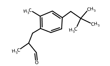 Cc1cc(CC(C)(C)C)ccc1CC(C)C=O